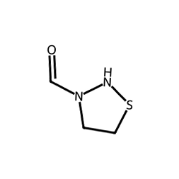 O=CN1CCSN1